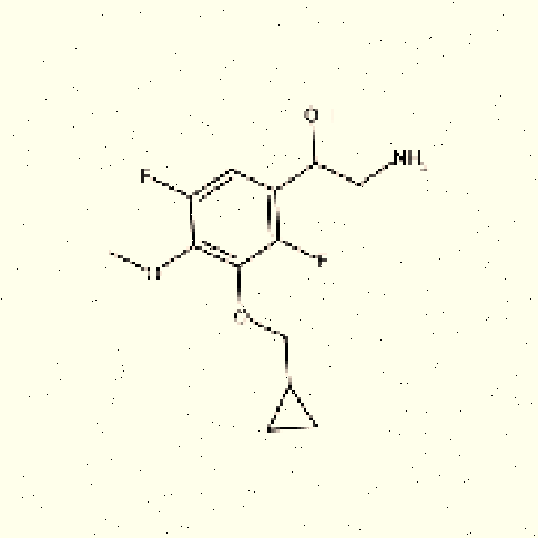 COc1c(F)cc(C(O)CN)c(F)c1OCC1CC1